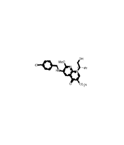 COc1nc2c(cc1NCc1ccc(Cl)cc1)c(=O)c(C(=O)O)cn2[C@H](CO)C(C)C